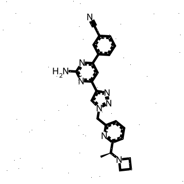 C[C@@H](c1cccc(Cn2cc(-c3cc(-c4cccc(C#N)c4)nc(N)n3)nn2)n1)N1CCC1